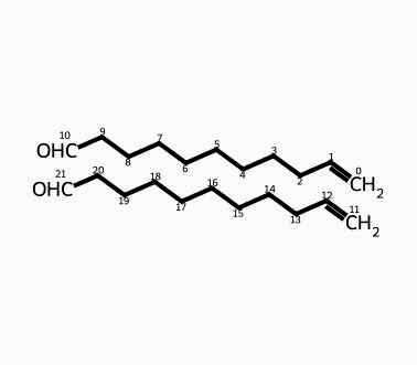 C=CCCCCCCCCC=O.C=CCCCCCCCCC=O